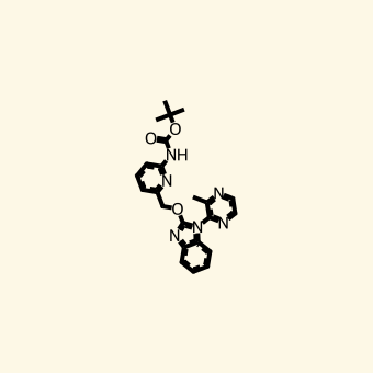 Cc1nccnc1-n1c(OCc2cccc(NC(=O)OC(C)(C)C)n2)nc2ccccc21